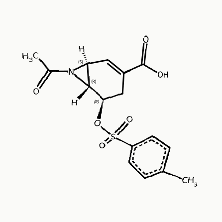 CC(=O)N1[C@H]2[C@H](OS(=O)(=O)c3ccc(C)cc3)CC(C(=O)O)=C[C@@H]21